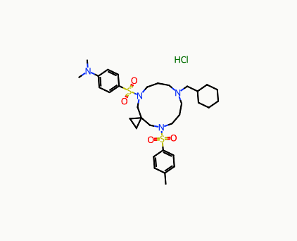 Cc1ccc(S(=O)(=O)N2CCCN(CC3CCCCC3)CCCN(S(=O)(=O)c3ccc(N(C)C)cc3)CC3(CC3)C2)cc1.Cl